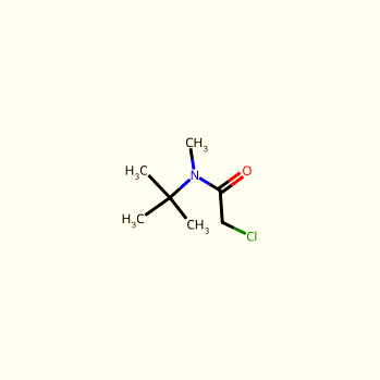 CN(C(=O)CCl)C(C)(C)C